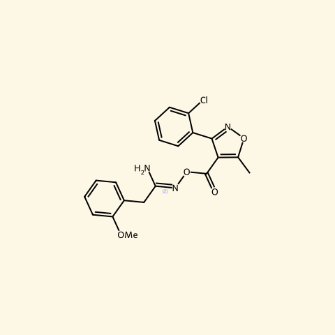 COc1ccccc1C/C(N)=N/OC(=O)c1c(-c2ccccc2Cl)noc1C